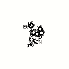 C=CC(=O)N1CCN(c2nc(Oc3cccnc3CC)nc3c2NC(=O)C2(CCCc4ccccc42)C3)CC1CC#N